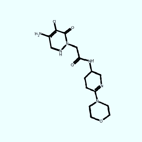 NC1=C(Cl)C(=O)N(CC(=O)NC2CCC(N3CCOCC3)=NC2)NC1